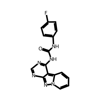 O=C(Nc1ccc(F)cc1)Nc1ncnc2nn3ccccc3c12